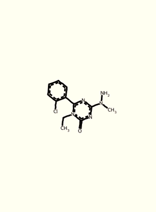 CCn1c(-c2ccccc2Cl)nc(N(C)N)nc1=O